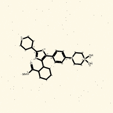 COC(=O)C1CCCCC1c1nc(C2CCOCC2)sc1-c1ccc(N2CCS(O)(O)CC2)cc1